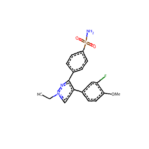 COc1ccc(-c2cn(CC#N)nc2-c2ccc(S(N)(=O)=O)cc2)cc1F